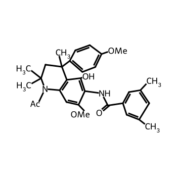 COc1ccc(C2(C)CC(C)(C)N(C(C)=O)c3cc(OC)c(NC(=O)c4cc(C)cc(C)c4)c(O)c32)cc1